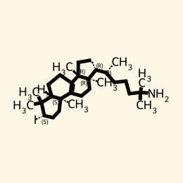 C[C@H](CCCC(C)(C)N)[C@H]1CC[C@@]2(C)C3=C(CC[C@]12C)[C@@]1(C)CC[C@H](I)C(C)(C)[C@@H]1CC3